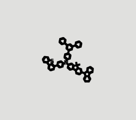 CC1(C)c2cc(N(c3ccc(-c4cc(-c5ccccc5)cc(-c5ccccc5)c4)cc3)c3ccc(-c4cccc5c4sc4ccccc45)cc3)ccc2C2C=CC(C3c4ccccc4-c4ccccc43)=CC21